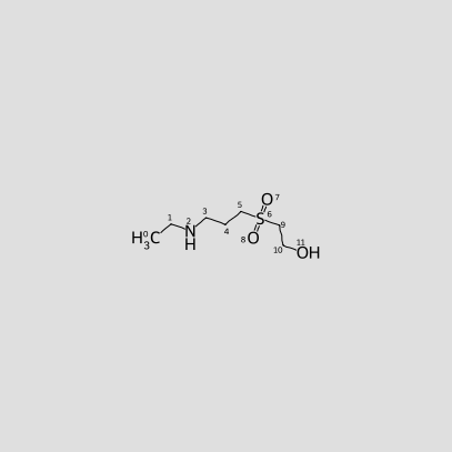 CCNCCCS(=O)(=O)CCO